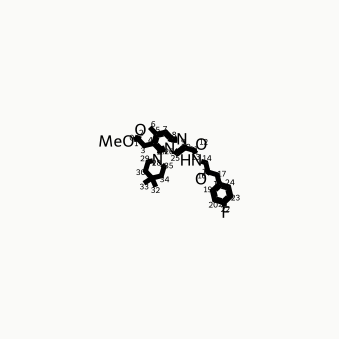 COC(=O)Cc1c(C)cc2nc(C(=O)NCC(=O)Cc3ccc(F)cc3)cn2c1N1CCC(C)(C)CC1